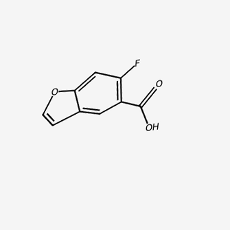 O=C(O)c1cc2ccoc2cc1F